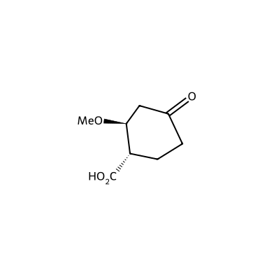 CO[C@H]1CC(=O)CC[C@@H]1C(=O)O